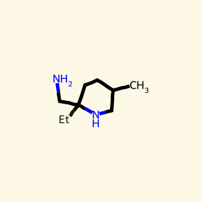 CCC1(CN)CCC(C)CN1